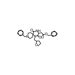 O=C(CC1NC(=O)C2(CCN(Cc3ccccc3)CC2)N(CC2CCCO2)C1=O)OCc1ccccc1